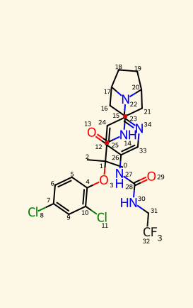 CC(C)(Oc1ccc(Cl)cc1Cl)C(=O)NC1CC2CCC(C1)N2c1ccc(NC(=O)NCC(F)(F)F)cn1